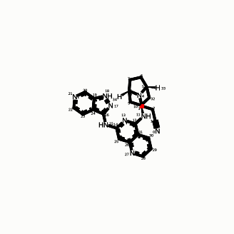 N#CCCN1[C@@H]2CC[C@H]1C[C@H](Nc1nc(Nc3n[nH]c4cnccc34)cc3ncccc13)C2